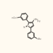 CCCCCCCCc1cccc(C2=C(CCCC)C=C(c3cccc(CCCC)c3)[N+]2=[N-])c1.[Pd]